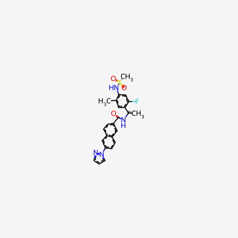 Cc1cc([C@@H](C)NC(=O)c2ccc3cc(-n4cccn4)ccc3c2)c(F)cc1NS(C)(=O)=O